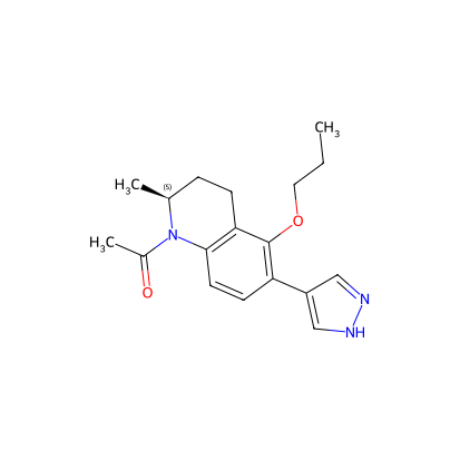 CCCOc1c(-c2cn[nH]c2)ccc2c1CC[C@H](C)N2C(C)=O